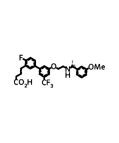 COc1cccc([C@@H](C)NCCOc2cc(-c3ccc(F)c(CCCC(=O)O)c3)cc(C(F)(F)F)c2)c1